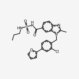 CCCNS(=O)(=O)NC(=O)c1ccc2nc(C)n(Cc3ccc(-c4ccco4)cc3Cl)c2c1